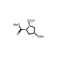 COC(=O)[C@@H]1C[C@H](OC)CN1C(=O)O